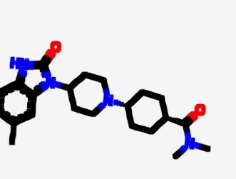 Cc1ccc2[nH]c(=O)n(C3CCN([C@H]4CC[C@H](C(=O)N(C)C)CC4)CC3)c2c1